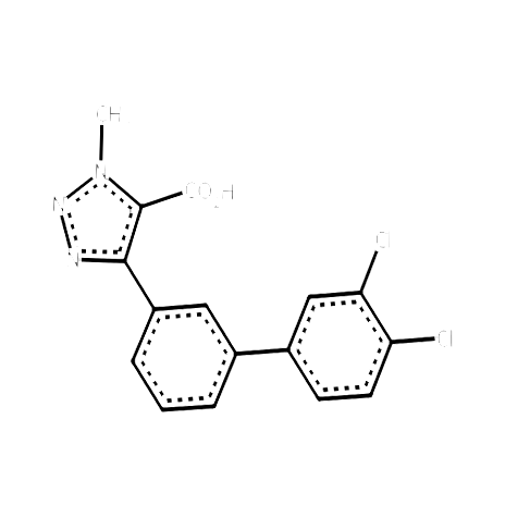 Cn1nnc(-c2cccc(-c3ccc(Cl)c(Cl)c3)c2)c1C(=O)O